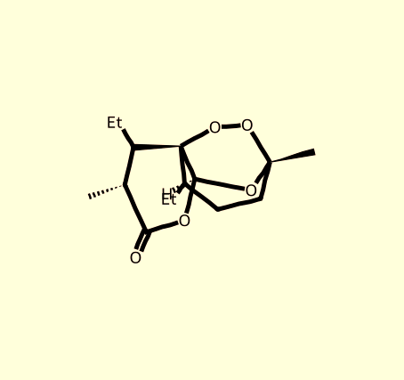 CCC1CC[C@@]2(C)OO[C@@]13C(CC)[C@@H](C)C(=O)O[C@@H]3O2